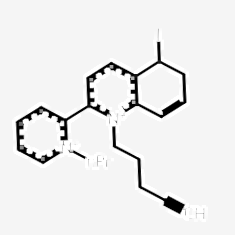 C#CCCC[n+]1c(-c2cccc[n+]2CCC)ccc2c1C=CCC2I